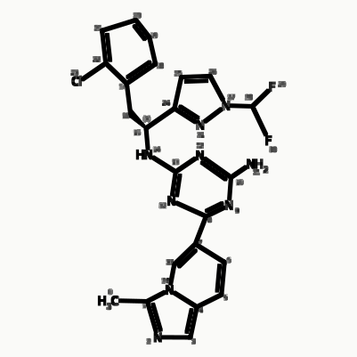 Cc1ncc2ccc(-c3nc(N)nc(N[C@@H](Cc4ccccc4Cl)c4ccn(C(F)F)n4)n3)cn12